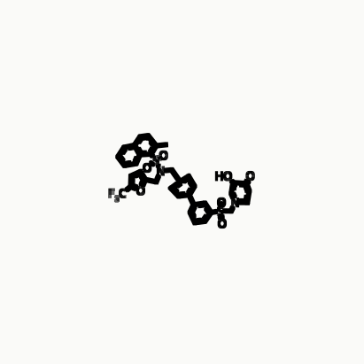 Cc1ccc2ccccc2c1S(=O)(=O)N(Cc1ccc(-c2cccc(S(=O)(=O)Cn3ccc(=O)c(O)c3)c2)cc1)Cc1ccc(C(F)(F)F)o1